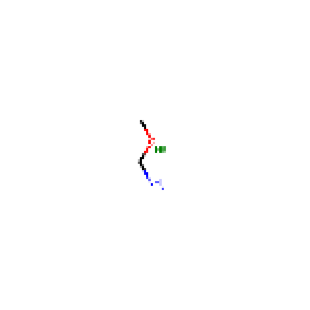 Br.COCN